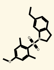 CCc1ccc2c(c1)N(S(=O)(=O)c1c(C)cc(OC)cc1C)CC2